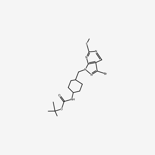 CSc1ncc2c(Br)nn(CC3CCC(NC(=O)OC(C)(C)C)CC3)c2n1